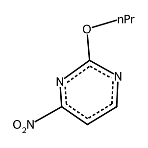 CCCOc1nccc([N+](=O)[O-])n1